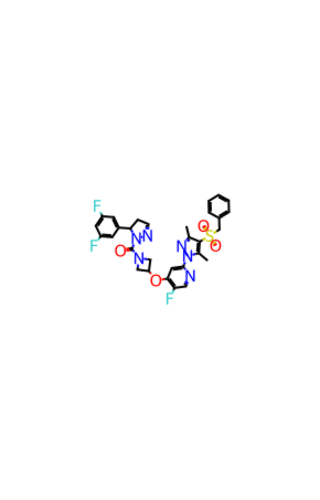 Cc1nn(-c2cc(OC3CN(C(=O)N4N=CCC4c4cc(F)cc(F)c4)C3)c(F)cn2)c(C)c1S(=O)(=O)Cc1ccccc1